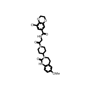 COc1ccc2c(c1)CCN(C1CCN(C(=O)CNC(=O)c3cc(Cl)c4c(c3)OCCO4)CC1)C(=O)N2